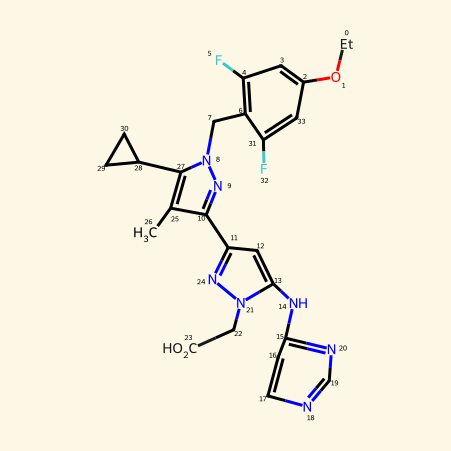 CCOc1cc(F)c(Cn2nc(-c3cc(Nc4ccncn4)n(CC(=O)O)n3)c(C)c2C2CC2)c(F)c1